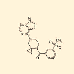 CS(=O)(=O)c1cccc(C(=O)N2CCN(c3ncnc4[nH]ccc34)CC23CC3)c1